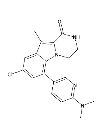 Cc1c2n(c3c(-c4ccc(N(C)C)nc4)cc(Cl)cc13)CCNC2=O